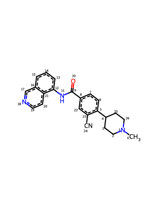 CN1CCC(c2ccc(C(=O)Nc3cccc4cnccc34)cc2C#N)CC1